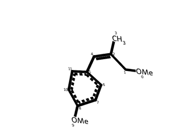 COCC(C)=Cc1ccc(OC)cc1